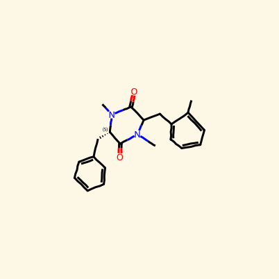 Cc1ccccc1CC1C(=O)N(C)[C@@H](Cc2ccccc2)C(=O)N1C